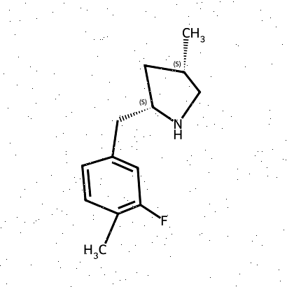 Cc1ccc(C[C@@H]2C[C@H](C)CN2)cc1F